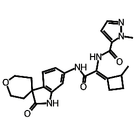 CC1CCC1=C(NC(=O)c1ccnn1C)C(=O)Nc1ccc2c(c1)NC(=O)C21CCOCC1